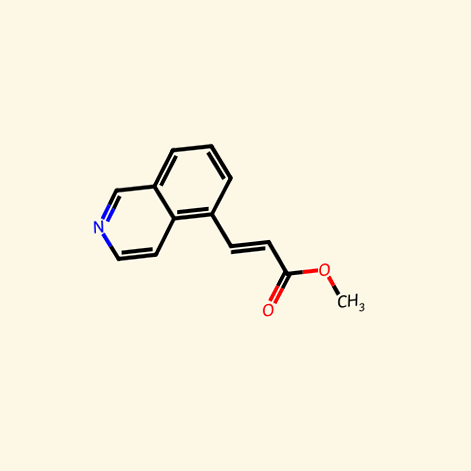 COC(=O)/C=C/c1cccc2cnccc12